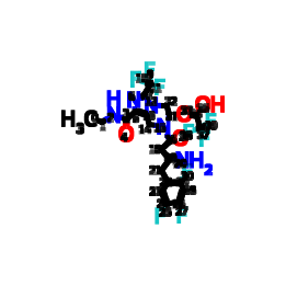 CCNC(=O)c1nc(C(F)(F)F)n2c1CN(C(=O)C[C@H](N)Cc1cc(F)c(F)cc1F)CC2.O=C(O)C(F)(F)F